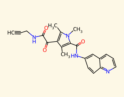 C#CCNC(=O)C(=O)c1c(C)c(C(=O)Nc2ccc3ncccc3c2)n(C)c1C